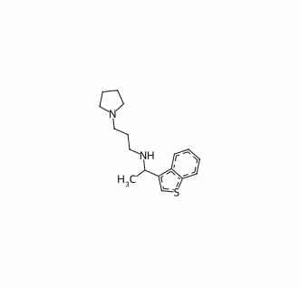 CC(NCCCN1CCCC1)c1csc2ccccc12